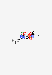 [CH2]CC(=O)NS(=O)(=O)c1ccc(Cn2c(CCCC)nc(Cl)c2C=O)cc1